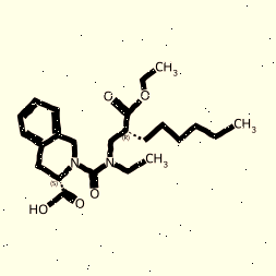 CCCCCC[C@H](CN(CC)C(=O)N1Cc2ccccc2C[C@H]1C(=O)O)C(=O)OCC